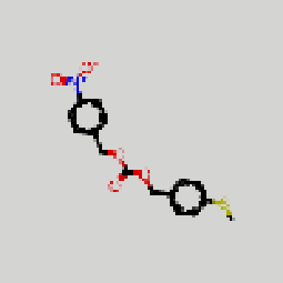 CSc1ccc(COC(=O)OCc2ccc([N+](=O)[O-])cc2)cc1